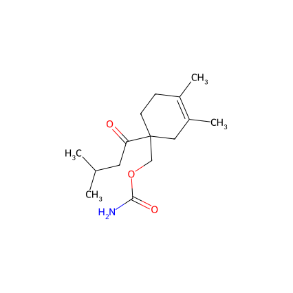 CC1=C(C)CC(COC(N)=O)(C(=O)CC(C)C)CC1